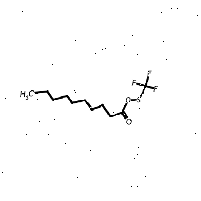 CCCCCCCCCC(=O)OSC(F)(F)F